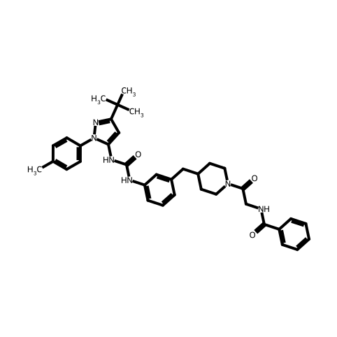 Cc1ccc(-n2nc(C(C)(C)C)cc2NC(=O)Nc2cccc(CC3CCN(C(=O)CNC(=O)c4ccccc4)CC3)c2)cc1